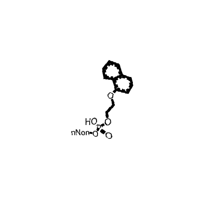 CCCCCCCCCOP(=O)(O)OCCOc1cccc2ccccc12